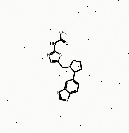 CC(=O)Nc1ncc(CN2CCCC2c2ccc3scnc3c2)s1